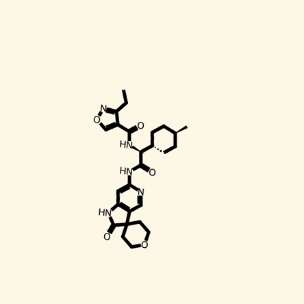 CCc1nocc1C(=O)N[C@H](C(=O)Nc1cc2c(cn1)C1(CCOCC1)C(=O)N2)[C@H]1CC[C@H](C)CC1